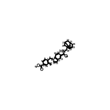 COC(=O)c1ccc(Cn2ccc3cc(C(=O)NCC45CC6CC(CC(C6)C4)C5)ccc32)c(F)c1